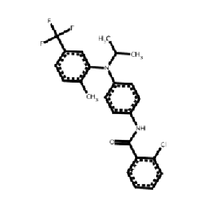 Cc1ccc(C(F)(F)F)cc1N(c1ccc(NC(=O)c2ccccc2Cl)cc1)C(C)C